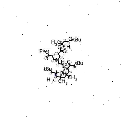 C/C(=C\CC(C)(C)C)C(C)(C)CC(C)(C)CC(SCCN(CCC(=O)OC(C)C)CCC(=O)OC(C)(C)CCOC(C)(C)C)C(C)CC(C)(C)C